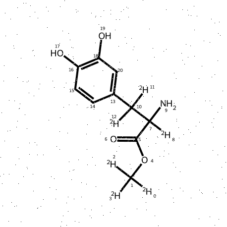 [2H]C([2H])([2H])OC(=O)C([2H])(N)C([2H])([2H])c1ccc(O)c(O)c1